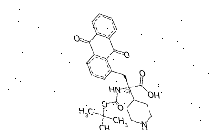 CC(C)(C)OC(=O)N[C@](Cc1cccc2c1C(=O)c1ccccc1C2=O)(C(=O)O)C1CCNCC1